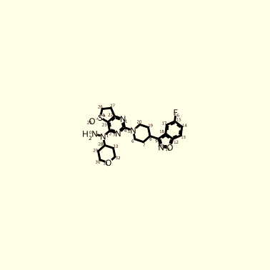 NN(c1nc(N2CCC(c3noc4ccc(F)cc34)CC2)nc2c1[S+]([O-])CC2)C1CCOCC1